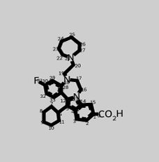 O=C(O)c1ccc2c(C3CCCCC3)c3n(c2c1)CCN(CCN1CCCCCC1)c1cc(F)ccc1-3